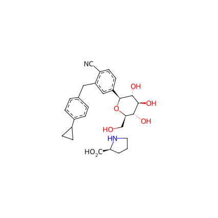 N#Cc1ccc([C@@H]2O[C@H](CO)[C@@H](O)[C@H](O)[C@H]2O)cc1Cc1ccc(C2CC2)cc1.O=C(O)[C@@H]1CCCN1